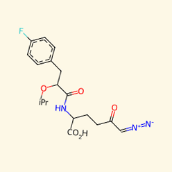 CC(C)OC(Cc1ccc(F)cc1)C(=O)NC(CCC(=O)C=[N+]=[N-])C(=O)O